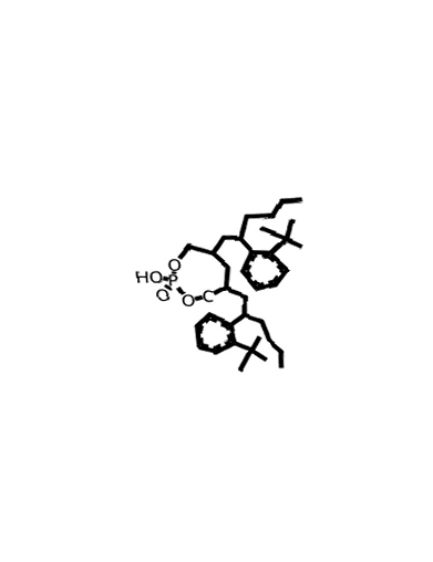 CCCCC(CC1COP(=O)(O)OCC(CC(CCCC)c2ccccc2C(C)(C)C)C1)c1ccccc1C(C)(C)C